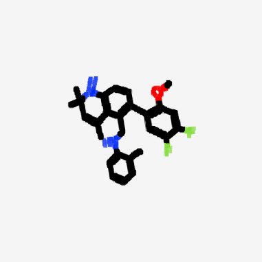 COc1cc(F)c(F)cc1-c1ccc2c(c1CNc1ccccc1C)C(C)=CC(C)(C)N2